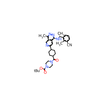 Cc1c(C#N)cccc1[C@@H](C)Nc1nnc(C)c2cnc(C3CCC(C(=O)N4CCN(C(=O)OC(C)(C)C)CC4)CC3)cc12